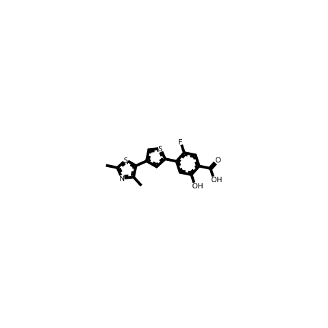 Cc1nc(C)c(-c2csc(-c3cc(O)c(C(=O)O)cc3F)c2)s1